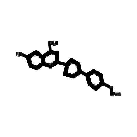 CCCCCOc1ccc(-c2ccc(-c3cc(C(=O)O)c4cc(C(F)(F)F)ccc4n3)cc2)cc1